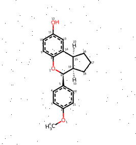 COc1ccc([C@H]2Oc3ccc(O)cc3[C@H]3CCC[C@H]32)cc1